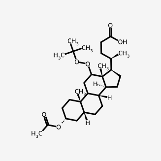 CC(=O)O[C@@H]1CC[C@]2(C)C3CC(OOC(C)(C)C)[C@]4(C)[C@@H]([C@H](C)CCC(=O)O)CC[C@H]4[C@@H]3CC[C@@H]2C1